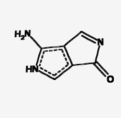 Nc1[nH]cc2c1C=NC2=O